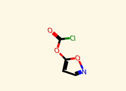 O=C(Cl)Oc1ccno1